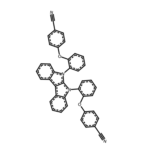 N#Cc1ccc(Oc2ccccc2-n2c3ccccc3c3c4ccccc4n(-c4ccccc4Oc4ccc(C#N)cc4)c32)cc1